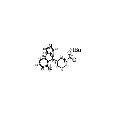 CC(C)(C)OC(=O)N1CCCC(C2c3c(F)cccc3-c3cncn32)C1